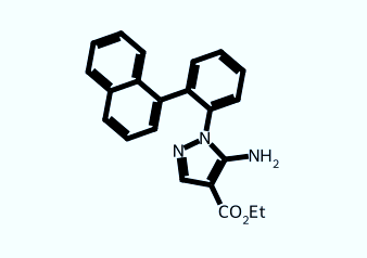 CCOC(=O)c1cnn(-c2ccccc2-c2cccc3ccccc23)c1N